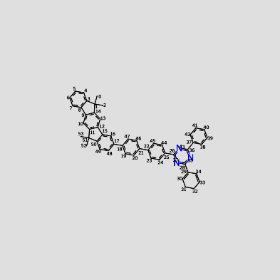 CC1(C)c2ccccc2-c2cc3c(cc21)-c1cc(-c2ccc(-c4ccc(-c5nc(C6=CCCC=C6)nc(-c6ccccc6)n5)cc4)cc2)ccc1C3(C)C